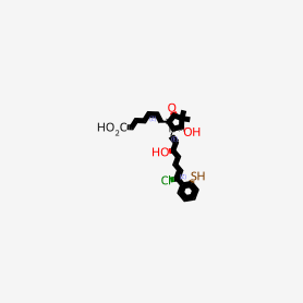 CC1(C)C(=O)[C@H](C/C=C\CCCC(=O)O)[C@@H](/C=C/C(O)CC/C=C(\Cl)c2ccccc2S)[C@@H]1O